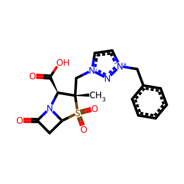 C[C@]1(Cn2cc[n+](Cc3ccccc3)n2)[C@H](C(=O)O)N2C(=O)CC2S1(=O)=O